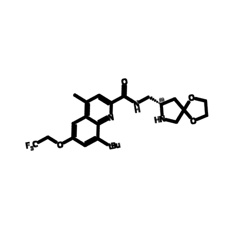 Cc1cc(C(=O)NC[C@@H]2CC3(CN2)OCCO3)nc2c(C(C)(C)C)cc(OCC(F)(F)F)cc12